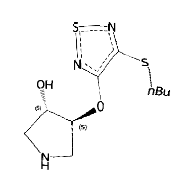 CCCCSc1nsnc1O[C@H]1CNC[C@@H]1O